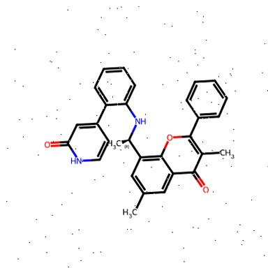 Cc1cc([C@@H](C)Nc2ccccc2-c2cc[nH]c(=O)c2)c2oc(-c3ccccc3)c(C)c(=O)c2c1